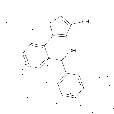 CC1=CCC(c2ccccc2C(O)c2ccccc2)=C1